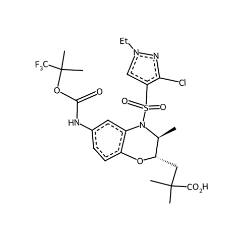 CCn1cc(S(=O)(=O)N2c3cc(NC(=O)OC(C)(C)C(F)(F)F)ccc3O[C@@H](CC(C)(C)C(=O)O)[C@@H]2C)c(Cl)n1